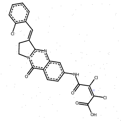 O=C(O)/C(Cl)=C(/Cl)C(=O)Nc1ccc2c(=O)n3c(nc2c1)C(=Cc1ccccc1Cl)CC3